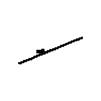 CCCCCCCCCCCCCCCCCCCCCCCCCCCCCCC(CCCCCCCCCCCCCCCCCC)C(=O)O